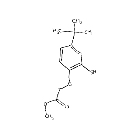 COC(=O)COc1ccc(C(C)(C)C)cc1S